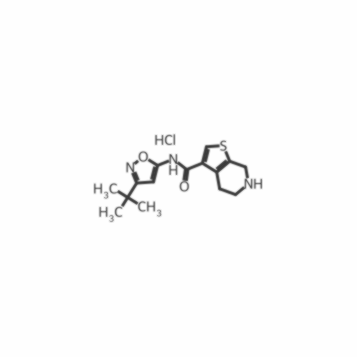 CC(C)(C)c1cc(NC(=O)c2csc3c2CCNC3)on1.Cl